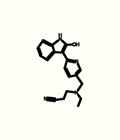 CCN(CCC#N)Cc1ccc(-c2c(O)[nH]c3ccccc23)nc1